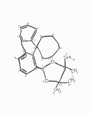 CC1(C)OB(c2cccc3c2C2(CCCCC2)c2ccccc2-3)OC1(C)C